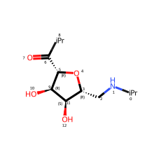 CC(C)NC[C@H]1O[C@@H](C(=O)C(C)C)[C@H](O)[C@@H]1O